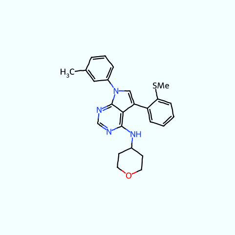 CSc1ccccc1-c1cn(-c2cccc(C)c2)c2ncnc(NC3CCOCC3)c12